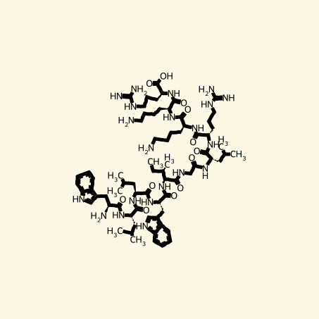 CC[C@H](C)[C@H](NC(=O)[C@H](Cc1c[nH]c2ccccc12)NC(=O)[C@H](CC(C)C)NC(=O)[C@H](CC(C)C)NC(=O)[C@@H](N)Cc1c[nH]c2ccccc12)C(=O)NCC(=O)N[C@@H](CC(C)C)C(=O)N[C@@H](CCCNC(=N)N)C(=O)N[C@@H](CCCCN)C(=O)N[C@@H](CCCCN)C(=O)N[C@@H](CCCNC(=N)N)C(=O)O